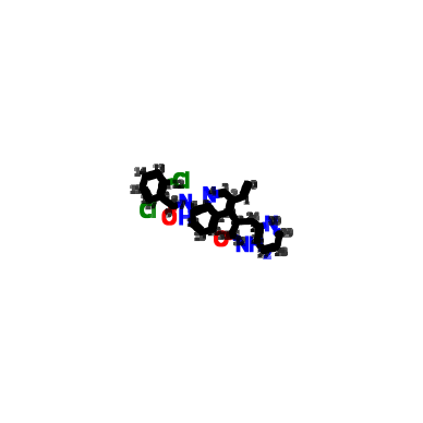 C=Cc1cnc2c(NC(=O)c3c(Cl)cccc3Cl)cccc2c1C(Cc1ccccn1)C(N)=O